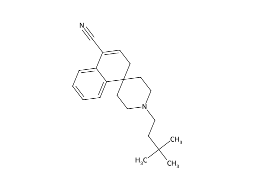 CC(C)(C)CCN1CCC2(CC=C(C#N)c3ccccc32)CC1